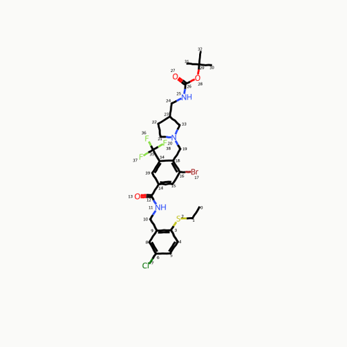 CCSc1ccc(Cl)cc1CNC(=O)c1cc(Br)c(CN2CCC(CNC(=O)OC(C)(C)C)C2)c(C(F)(F)F)c1